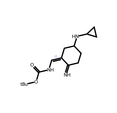 CC(C)(C)OC(=O)N/C=C1/CC(NC2CC2)CCC1=N